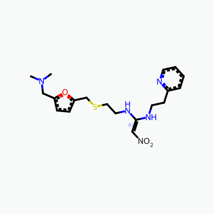 CN(C)Cc1ccc(CSCCN/C(=C/[N+](=O)[O-])NCCc2ccccn2)o1